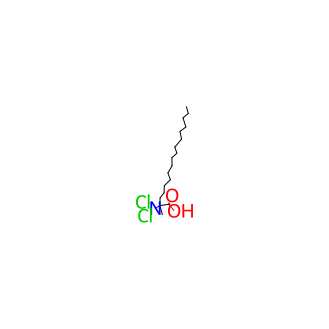 CCCCCCCCCCCCCCCC(C)(C(=O)O)N(Cl)Cl